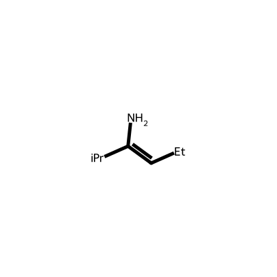 CCC=C(N)C(C)C